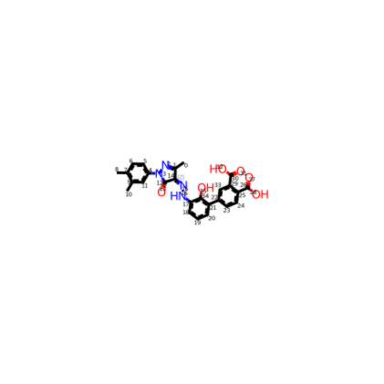 CC1=NN(c2ccc(C)c(C)c2)C(=O)/C1=N\Nc1cccc(-c2ccc(C(=O)O)c(C(=O)O)c2)c1O